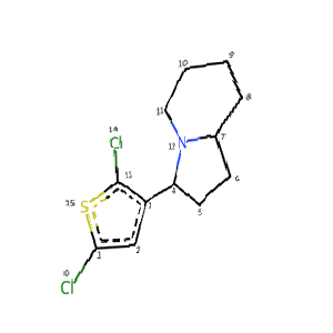 Clc1cc(C2CCC3CCCCN32)c(Cl)s1